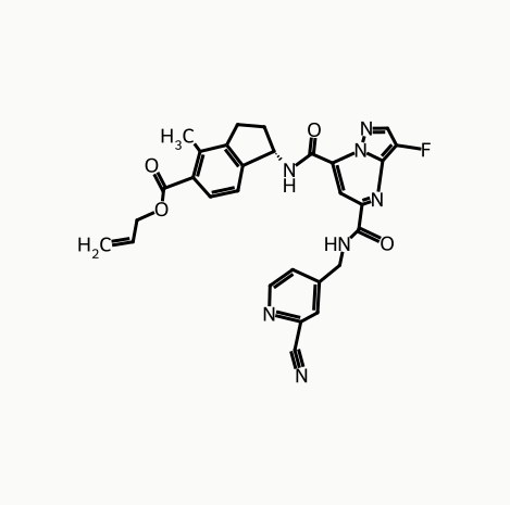 C=CCOC(=O)c1ccc2c(c1C)CC[C@@H]2NC(=O)c1cc(C(=O)NCc2ccnc(C#N)c2)nc2c(F)cnn12